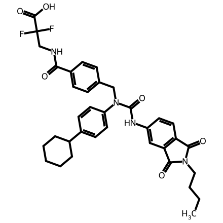 CCCCN1C(=O)c2ccc(NC(=O)N(Cc3ccc(C(=O)NCC(F)(F)C(=O)O)cc3)c3ccc(C4CCCCC4)cc3)cc2C1=O